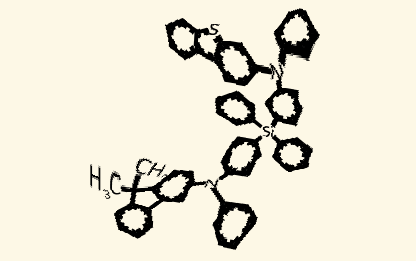 CC1(C)c2ccccc2-c2cc(N(c3ccccc3)c3ccc([Si](c4ccccc4)(c4ccccc4)c4cccc(N(c5ccccc5)c5ccc6c(c5)sc5ccccc56)c4)cc3)ccc21